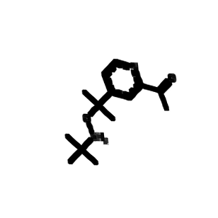 CC(=O)c1cc(C(C)(C)O[SiH2]C(C)(C)C)ccn1